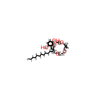 CCCCCCCCCCCCC1(Cc2cc(O)ccc2O)COCCOCC(C)(C)COCCOC1